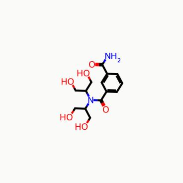 NC(=O)c1cccc(C(=O)N(C(CO)CO)C(CO)CO)c1